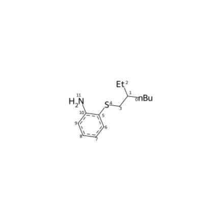 CCCCC(CC)CSc1ccccc1N